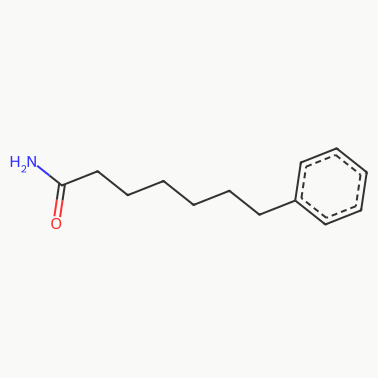 NC(=O)CCCCCCc1ccccc1